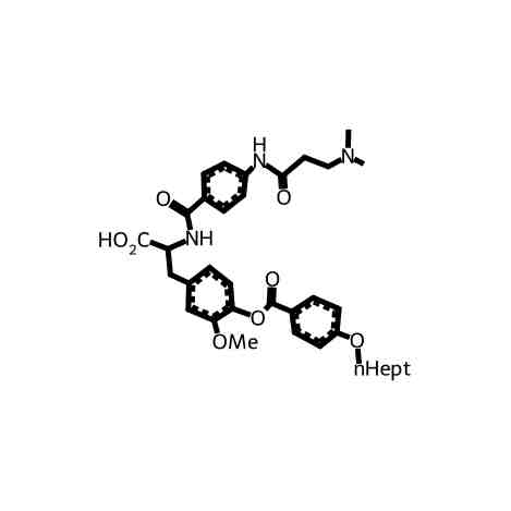 CCCCCCCOc1ccc(C(=O)Oc2ccc(CC(NC(=O)c3ccc(NC(=O)CCN(C)C)cc3)C(=O)O)cc2OC)cc1